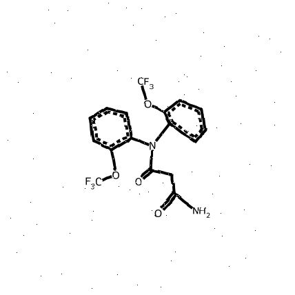 NC(=O)CC(=O)N(c1ccccc1OC(F)(F)F)c1ccccc1OC(F)(F)F